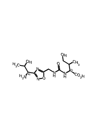 CC(CO)[C@H](NC(=O)NCc1nc([C@@H](N)C(C)O)no1)C(=O)O